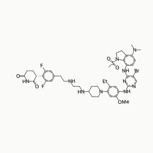 CCc1cc(Nc2ncc(Br)c(Nc3ccc(N(C)C)c4c3N(S(C)(=O)=O)CC4)n2)c(OC)cc1N1CCC(NCCNCCc2cc(F)c([C@H]3CCC(=O)NC3=O)c(F)c2)CC1